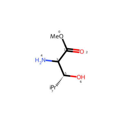 COC(=O)C(N)[C@H](O)C(C)C